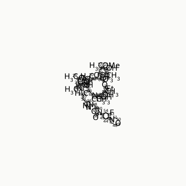 CC[C@H]1OC(=O)[C@H](C)[C@@H](O[C@H]2C[C@@](C)(OC)[C@@H](O)[C@H](C)O2)[C@H](C)[C@@H](O[C@@H]2O[C@H](C)C[C@H](N(C)CCCCc3cn(C[C@H]4CN(c5ccc(N6CCOCC6)c(F)c5)C(=O)O4)nn3)[C@H]2O)[C@](C)(O)C[C@@H](C)CN(C)[C@H](C)[C@@H](O)[C@]1(C)O